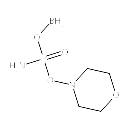 BOP(N)(=O)ON1CCOCC1